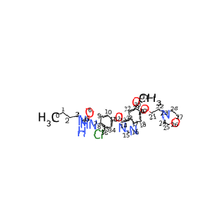 CCCCNC(=O)Nc1ccc(Oc2ncnc3cc(OCCN4CCOCC4)c(OC)cc23)cc1Cl